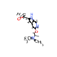 CC(=O)c1cc2cc(OCCN(C)C)ncc2[nH]1